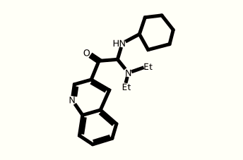 CCN(CC)C(NC1CCCCC1)C(=O)c1cnc2ccccc2c1